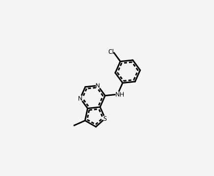 Cc1csc2c(Nc3cccc(Cl)c3)ncnc12